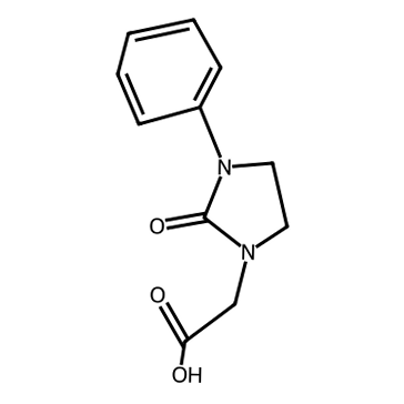 O=C(O)CN1CCN(c2ccccc2)C1=O